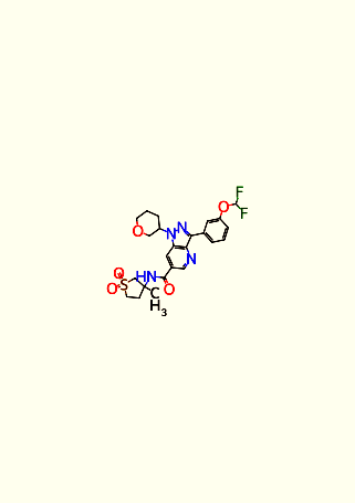 CC1(NC(=O)c2cnc3c(-c4cccc(OC(F)F)c4)nn(C4CCCOC4)c3c2)CCS(=O)(=O)C1